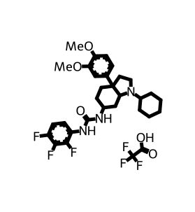 COc1ccc(C23CCC(NC(=O)Nc4ccc(F)c(F)c4F)CC2N(C2CCCCC2)CC3)cc1OC.O=C(O)C(F)(F)F